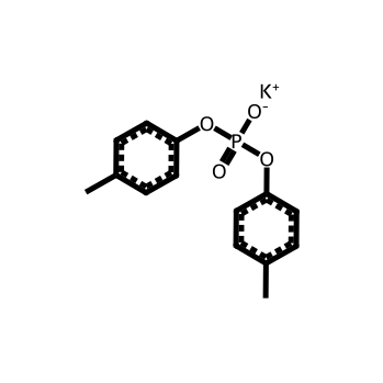 Cc1ccc(OP(=O)([O-])Oc2ccc(C)cc2)cc1.[K+]